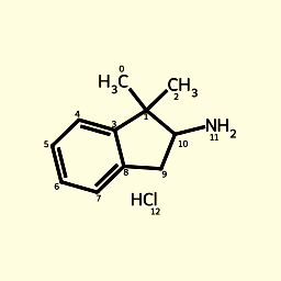 CC1(C)c2ccccc2CC1N.Cl